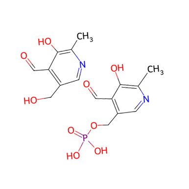 Cc1ncc(CO)c(C=O)c1O.Cc1ncc(COP(=O)(O)O)c(C=O)c1O